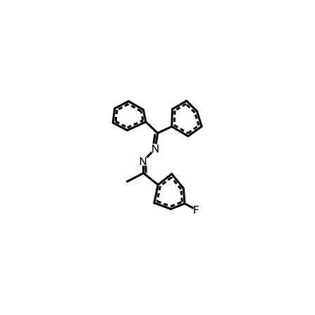 CC(=NN=C(c1ccccc1)c1ccccc1)c1ccc(F)cc1